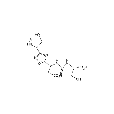 CC(C)NC(CO)c1noc(C(CC(=O)O)NC(=O)NC(CO)C(=O)O)n1